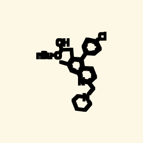 CCCCOC(O)Cc1c(C)cc2nc(CN3CCCCC3)ccc2c1-c1ccc(Cl)cc1